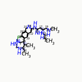 C/C=C1NCN/N=C/C(c2cc3cc(NC(=N)/C=C(/CNC)NCCC)ncc3cc2F)=C\1C